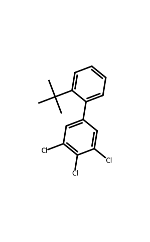 CC(C)(C)c1ccccc1-c1cc(Cl)c(Cl)c(Cl)c1